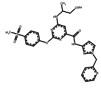 COCC(C)Nc1cc(C(=O)Nc2ccn(Cc3ccccn3)n2)nc(Oc2ccc(S(C)(=O)=O)cc2)n1